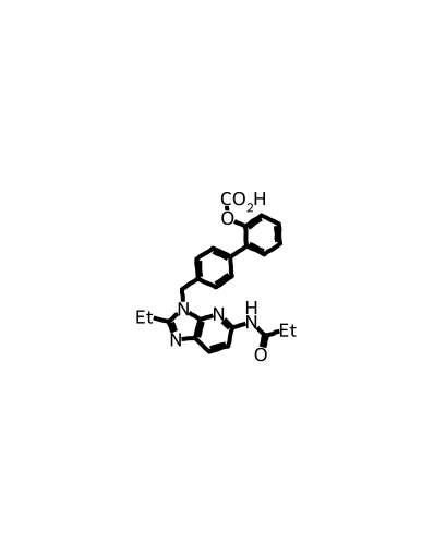 CCC(=O)Nc1ccc2nc(CC)n(Cc3ccc(-c4ccccc4OC(=O)O)cc3)c2n1